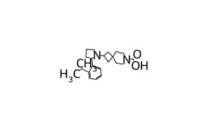 CC(C)c1ccccc1C1CCCN1C1CC2(CCN(C(=O)O)CC2)C1